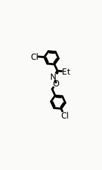 CC/C(=N\OCc1ccc(Cl)cc1)c1cccc(Cl)c1